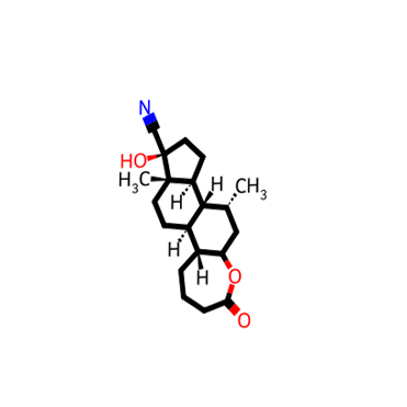 C[C@@H]1CC2OC(=O)CCC[C@@H]2[C@H]2CC[C@@]3(C)[C@@H](CC[C@@]3(O)C#N)[C@@H]21